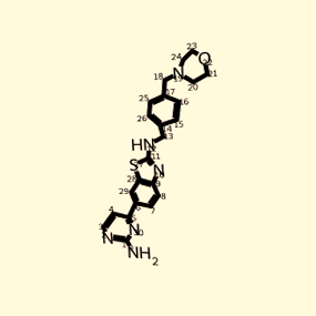 Nc1nccc(-c2ccc3nc(NCc4ccc(CN5CCOCC5)cc4)sc3c2)n1